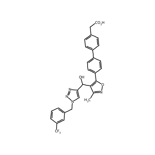 Cc1noc(-c2ccc(-c3ccc(CC(=O)O)cc3)cc2)c1C(O)c1cn(Cc2cccc(C(F)(F)F)c2)nn1